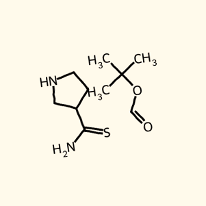 CC(C)(C)OC=O.NC(=S)C1CCNC1